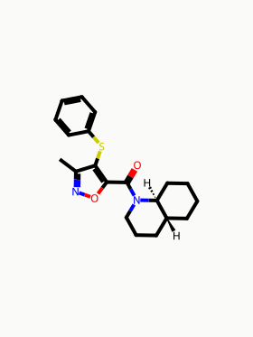 Cc1noc(C(=O)N2CCC[C@H]3CCCC[C@@H]32)c1Sc1ccccc1